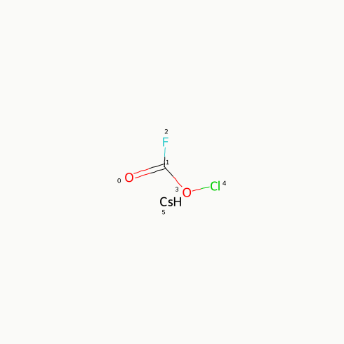 O=C(F)OCl.[CsH]